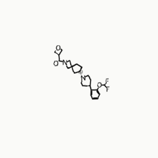 O=C(C1COC1)N1CC2(CC[C@H](N3CCC(c4ccccc4OC(F)F)CC3)C2)C1